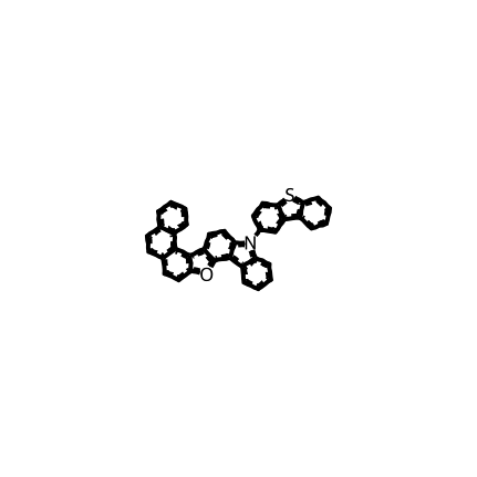 c1ccc2c(c1)ccc1ccc3oc4c(ccc5c4c4ccccc4n5-c4ccc5sc6ccccc6c5c4)c3c12